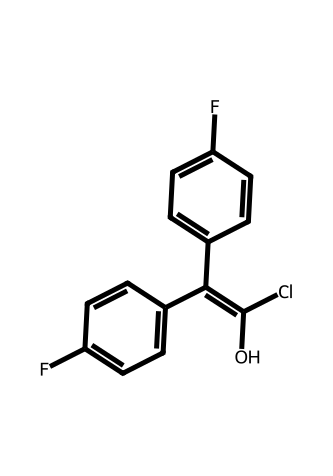 OC(Cl)=C(c1ccc(F)cc1)c1ccc(F)cc1